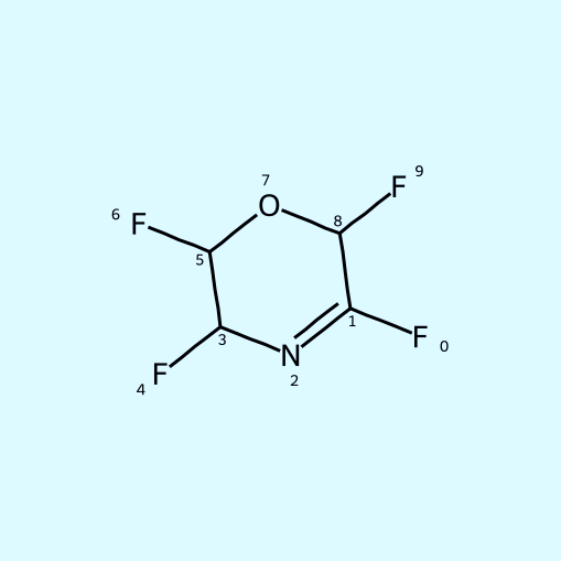 FC1=NC(F)C(F)OC1F